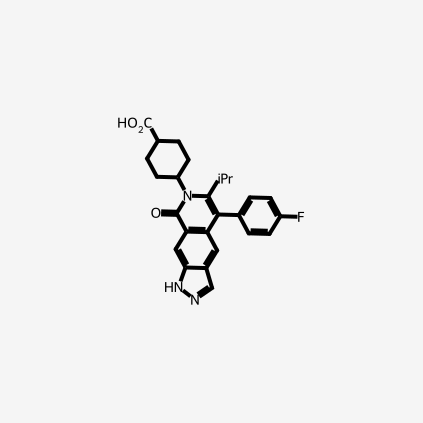 CC(C)c1c(-c2ccc(F)cc2)c2cc3cn[nH]c3cc2c(=O)n1C1CCC(C(=O)O)CC1